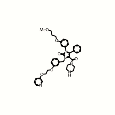 COCCCOc1cccc(-n2c(-c3ccccc3)c(C(=O)N3CCNCC3)n(Cc3cccc(OCCOc4cccnc4)c3)c2=O)c1